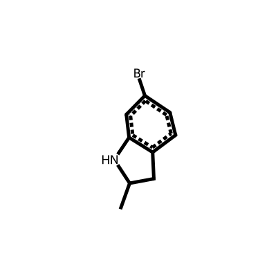 CC1Cc2ccc(Br)cc2N1